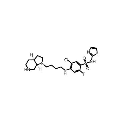 O=S(=O)(Nc1nccs1)c1cc(Cl)c(NCCCCN2CC[C@@H]3CCNC[C@@H]32)cc1F